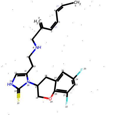 C=C(/C=C\C=C/C)CNCCc1c[nH]c(=S)n1C1COc2c(F)cc(F)cc2C1